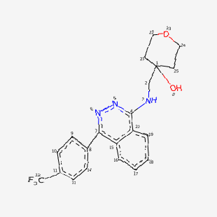 OC1(CNc2nnc(-c3ccc(C(F)(F)F)cc3)c3ccccc23)CCOCC1